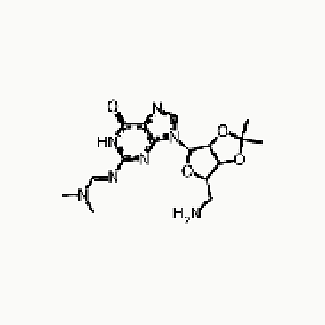 CN(C)/C=N/c1nc2c(ncn2[C@@H]2O[C@H](CN)C3OC(C)(C)OC32)c(=O)[nH]1